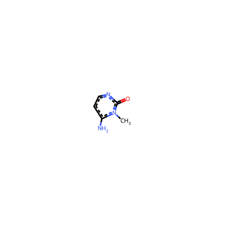 Cn1c(N)ccnc1=O